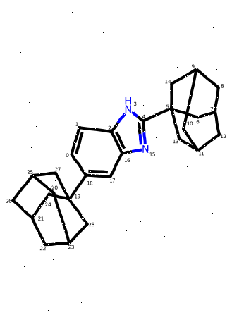 c1cc2[nH]c(C34CC5CC(CC(C5)C3)C4)nc2cc1C12CC3CC(CC(C3)C1)C2